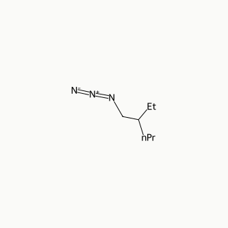 CCCC(CC)CN=[N+]=[N-]